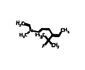 C=CN(C)C/C=C\C(=C/C)C(C)(C)F